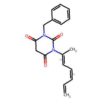 C=C/C=C\C=C(/C)N1C(=O)CC(=O)N(Cc2ccccc2)C1=O